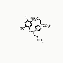 N#Cc1cc(F)c(Cl)cc1O[C@H](CCN)c1ccoc1.O=C(O)/C=C/C(=O)O